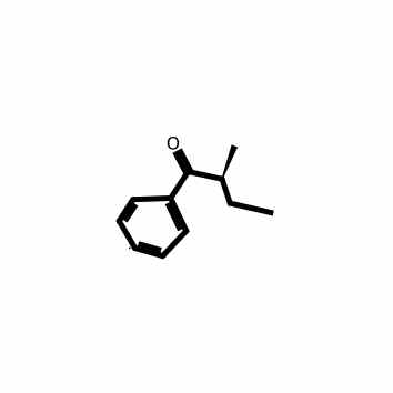 CC[C@H](C)C(=O)c1cc[c]cc1